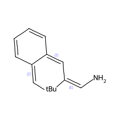 C/C=c1/cccc/c1=C/C(=C\N)C(C)(C)C